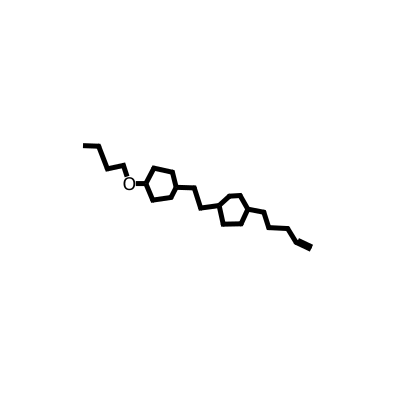 C=CCCCC1CCC(CCC2CCC(OCCCC)CC2)CC1